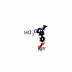 CCCOCCOc1ccc(-c2ccc3c(c2)C=C(C(=O)O)CCN3CC2CC2)cc1